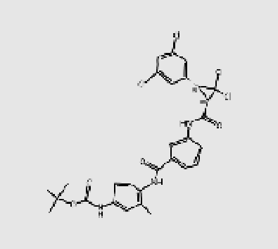 Cc1cc(NC(=O)OC(C)(C)C)ccc1NC(=O)c1cccc(NC(=O)[C@H]2[C@H](c3cc(Cl)cc(Cl)c3)C2(Cl)Cl)c1